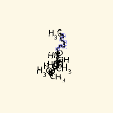 CC/C=C\C/C=C\C/C=C\C/C=C\C/C=C\C/C=C\CCC(=O)NCCCCC(NC(=O)C(C)(C)CCCOc1cc(C)ccc1C)C(=O)O